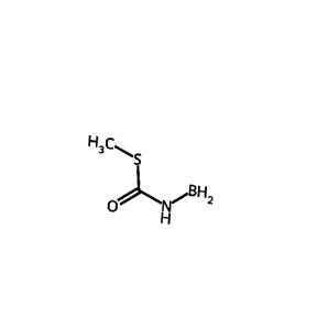 BNC(=O)SC